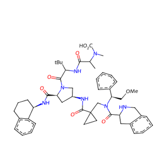 COC[C@H](c1ccccc1)N(CC1(C(=O)N[C@H]2C[C@@H](C(=O)N[C@@H]3CCCc4ccccc43)N(C(=O)C(NC(=O)C(C)N(C)C(=O)O)C(C)(C)C)C2)CC1)C(=O)C1Cc2ccccc2CN1